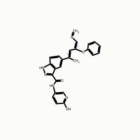 C=N/C=C(\C=C(/C)c1ccc2[nH]nc(C(=O)Nc3ccc(O)nc3)c2c1)Oc1ccccc1